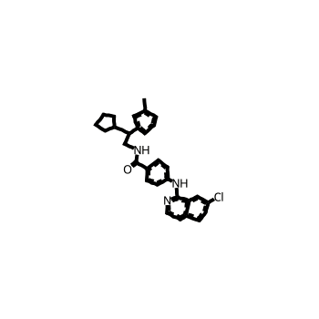 Cc1cccc(C(CNC(=O)c2ccc(Nc3nccc4ccc(Cl)cc34)cc2)C2CCCC2)c1